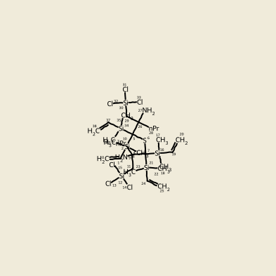 C=C[Si](C)(C)C(SC(C(N)(CCC)C[Si](Cl)(Cl)Cl)([Si](C)(C)C=C)[Si](C)(C)C=C)(C(N)(CCC)C[Si](Cl)(Cl)Cl)[Si](C)(C)C=C